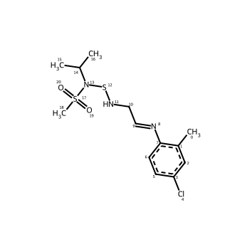 Cc1cc(Cl)ccc1N=CCNSN(C(C)C)S(C)(=O)=O